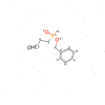 CP(=O)(CCC=O)OCc1ccccc1